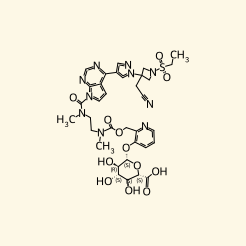 CCS(=O)(=O)N1CC(CC#N)(n2cc(-c3ncnc4c3ccn4C(=O)N(C)CCN(C)C(=O)OCc3ncccc3O[C@@H]3O[C@H](C(=O)O)[C@@H](O)[C@H](O)[C@H]3O)cn2)C1